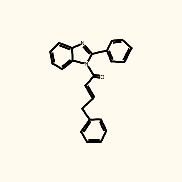 O=C(C=CCc1ccccc1)n1c(-c2ccccc2)nc2ccccc21